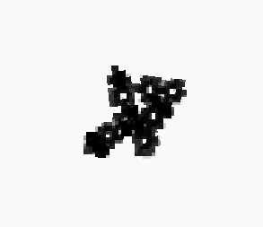 C[Si](C)(C)c1ccc(-c2cc(-c3ccc(S(C)(=O)=O)cc3)nc(-n3c4ccccc4c4cc5nc6c7ccccc7c7ccccc7n6c5cc43)n2)cc1